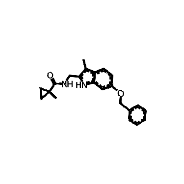 Cc1c(CNC(=O)C2(C)CC2)[nH]c2cc(OCc3ccccc3)ccc12